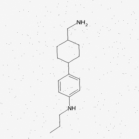 CCCNc1ccc(C2CCC(CN)CC2)cc1